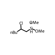 CCCCC(Cl)C[SiH](OC)OC